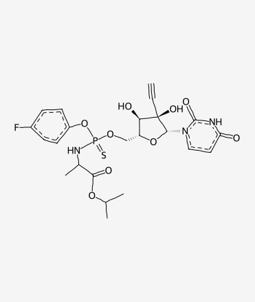 C#C[C@@]1(O)[C@H](O)[C@@H](COP(=S)(NC(C)C(=O)OC(C)C)Oc2ccc(F)cc2)O[C@H]1n1ccc(=O)[nH]c1=O